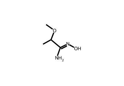 COC(C)/C(N)=N/O